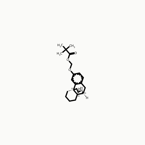 CC(C)(C)C(=O)OCOc1ccc2c(c1)[C@]13CCCC[C@@H]1[C@H](C2)NCC3